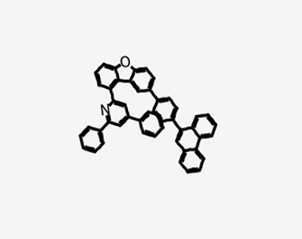 c1ccc(-c2cc(-c3ccccc3)nc(-c3cccc4oc5ccc(-c6ccc(-c7cc8ccccc8c8ccccc78)cc6)cc5c34)c2)cc1